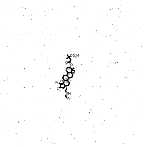 CC(C)CNCC[C@@]12CC[C@]3(C)[C@H](CCC4[C@@]5(C)CC[C@H](OC(=O)CC(C)(C)C(=O)O)C(C)(C)[C@H]5CC[C@]43C)C1=C(C(C)C)C(=O)C2